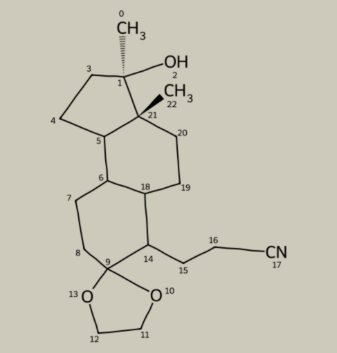 C[C@@]1(O)CCC2C3CCC4(OCCO4)C(CCC#N)C3CC[C@]21C